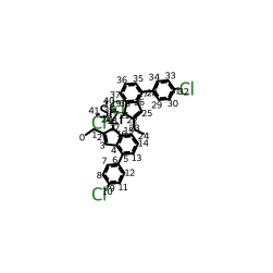 CCC1=Cc2c(-c3ccc(Cl)cc3)cccc2[CH]1[Zr]([Cl])([Cl])([CH]1C(CC)=Cc2c(-c3ccc(Cl)cc3)cccc21)=[Si](C)C